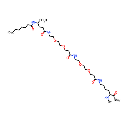 CCCCCCCCCCCCCCCC(=O)NC(CCC(=O)NCCOCCOCCC(=O)NCCOCCOCCC(=O)NCCCCC(NC(C)C)C(=O)NC)C(=O)O